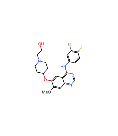 COc1cc2ncnc(Nc3ccc(F)c(Cl)c3)c2cc1OC1CCN(CCO)CC1